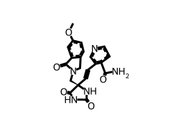 COc1ccc2c(c1)C(=O)N(C[C@@]1(C#Cc3cnccc3C(N)=O)NC(=O)NC1=O)C2